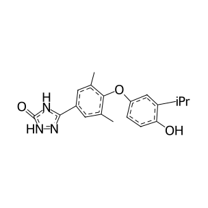 Cc1cc(-c2n[nH]c(=O)[nH]2)cc(C)c1Oc1ccc(O)c(C(C)C)c1